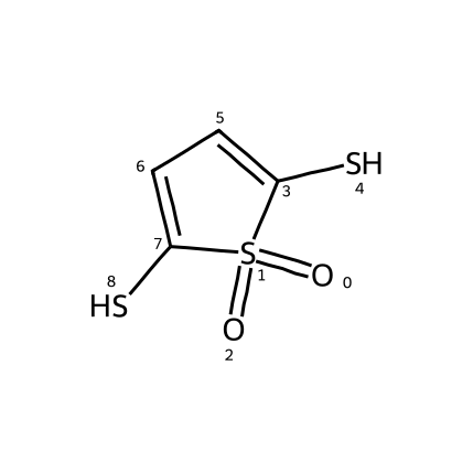 O=S1(=O)C(S)=CC=C1S